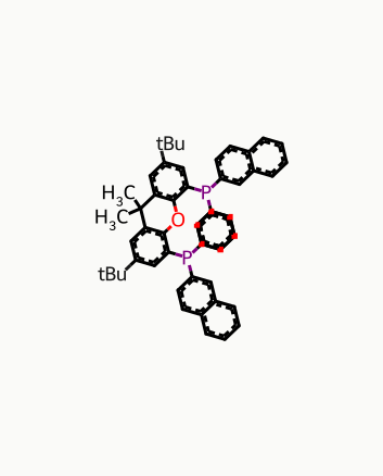 CC(C)(C)c1cc(P(c2ccccc2)c2ccc3ccccc3c2)c2c(c1)C(C)(C)c1cc(C(C)(C)C)cc(P(c3ccccc3)c3ccc4ccccc4c3)c1O2